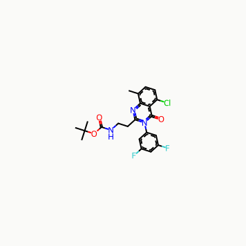 Cc1ccc(Cl)c2c(=O)n(-c3cc(F)cc(F)c3)c(CCNC(=O)OC(C)(C)C)nc12